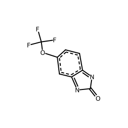 O=C1N=c2ccc(OC(F)(F)F)cc2=N1